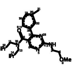 COCCNc1ncc(C(=O)N(CC(C)C)CC(C)C)c(-c2cccc(C)c2)n1